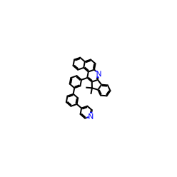 CC1(C)c2ccccc2-c2nc3ccc4ccccc4c3c(-c3cccc(-c4cccc(-c5ccncc5)c4)c3)c21